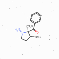 COC1CCN(N)[C@@]1(C(=O)O)C(=O)c1ccccc1